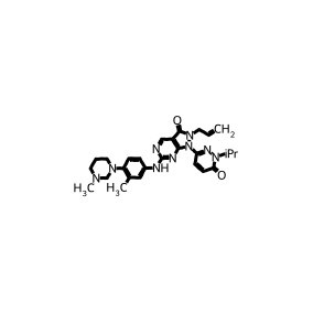 C=CCn1c(=O)c2cnc(Nc3ccc(N4CCCN(C)C4)c(C)c3)nc2n1-c1ccc(=O)n(C(C)C)n1